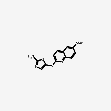 CSc1ccc2nc(Sc3cnc(N)s3)ccc2c1